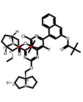 CC[C@@H]1[C@@H]2CC[C@H](CN1c1nc(OC[C@@]34CCCN3C[C@H](F)C4)nc3c(F)c(-c4cc(OC(=O)C(C)(C)C)cc5ccccc45)nc(Cl)c13)N2C(=O)OC(C)(C)C